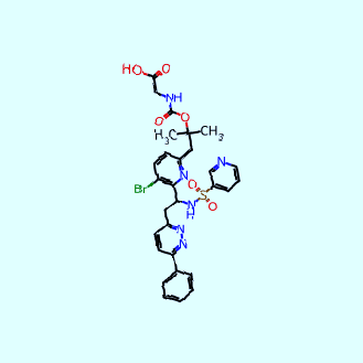 CC(C)(Cc1ccc(Br)c(C(Cc2ccc(-c3ccccc3)nn2)NS(=O)(=O)c2cccnc2)n1)OC(=O)NCC(=O)O